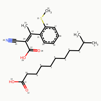 CC(C)CCCCCCCCC(=O)O.CSc1ccccc1C(C)=C(C#N)C(=O)O